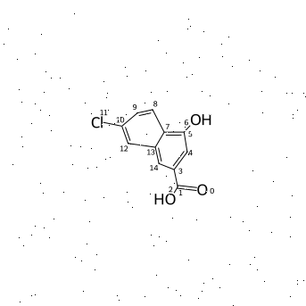 O=C(O)c1cc(O)c2ccc(Cl)cc2c1